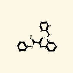 C=C(Cc1ccccc1SCc1ccccc1)C(=O)Oc1ccccc1